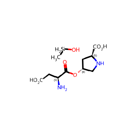 C[SiH2]O.N[C@@H](CC(=O)O)C(=O)O[C@H]1CN[C@H](C(=O)O)C1